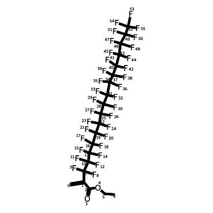 C=C(C(=O)OCC)C(F)(F)C(F)(F)C(F)(F)C(F)(F)C(F)(F)C(F)(F)C(F)(F)C(F)(F)C(F)(F)C(F)(F)C(F)(F)C(F)(F)C(F)(F)C(F)(F)C(F)(F)C(F)(F)F